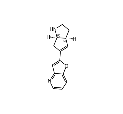 C1=C(c2cc3ncccc3o2)C[C@H]2NCC[C@@H]12